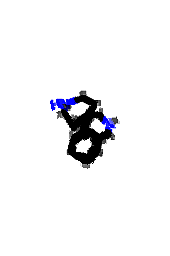 C1=NCc2ccccc2C12CCNCC2